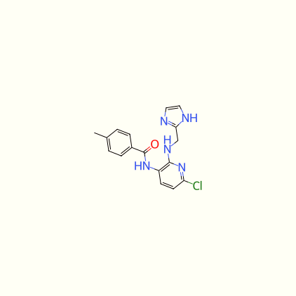 Cc1ccc(C(=O)Nc2ccc(Cl)nc2NCc2ncc[nH]2)cc1